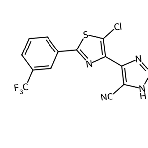 N#Cc1[nH]nnc1-c1nc(-c2cccc(C(F)(F)F)c2)sc1Cl